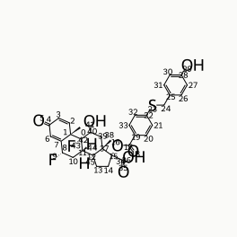 C[C@]12C=CC(=O)C=C1[C@@H](F)C[C@H]1[C@@H]3CC[C@](OC(=O)c4ccc(SCc5ccc(O)cc5)cc4)(C(=O)O)[C@@]3(C)C[C@H](O)[C@@]12F